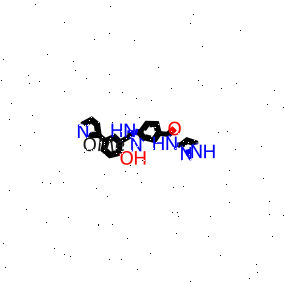 COc1ncccc1-c1ccc(O)c(-c2nc3cc(C(=O)Nc4cc[nH]n4)ccc3[nH]2)c1